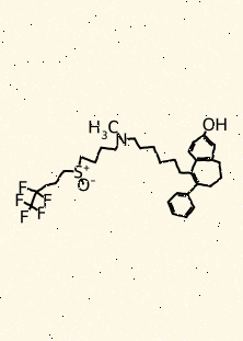 CN(CCCCCCC1=C(c2ccccc2)CCCc2cc(O)ccc21)CCCC[S+]([O-])CCCC(F)(F)C(F)(F)F